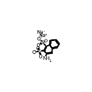 Nc1cc2ccccc2c(S(=O)(=O)[O-])c1S(=O)(=O)[O-].[Na+].[Na+]